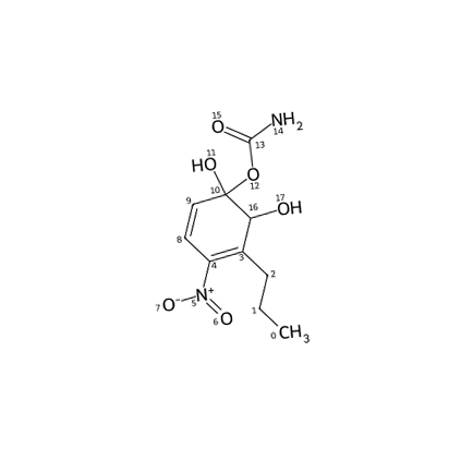 CCCC1=C([N+](=O)[O-])C=CC(O)(OC(N)=O)C1O